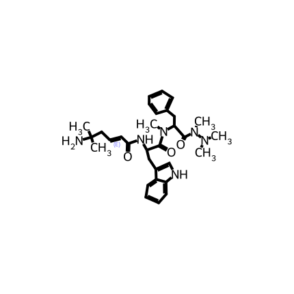 CN(C(=O)C(Cc1c[nH]c2ccccc12)NC(=O)/C=C/CC(C)(C)N)C(Cc1ccccc1)C(=O)N(C)N(C)C